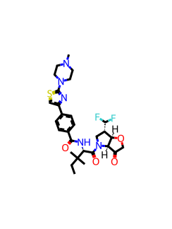 CCC(C)(C)[C@H](NC(=O)c1ccc(-c2csc(N3CCN(C)CC3)n2)cc1)C(=O)N1C[C@H](C(F)F)[C@H]2OCC(=O)[C@H]21